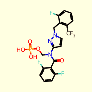 O=C(c1c(F)cccc1F)N(COP(=O)(O)O)c1ccn(Cc2c(F)cccc2C(F)(F)F)n1